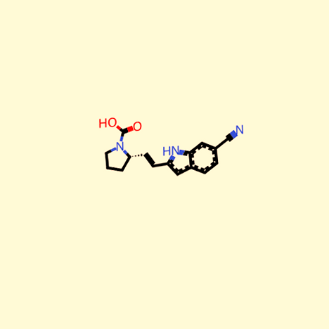 N#Cc1ccc2cc(C=C[C@@H]3CCCN3C(=O)O)[nH]c2c1